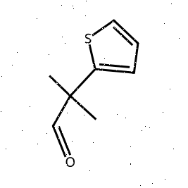 CC(C)(C=O)c1cccs1